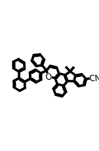 CC1(C)c2cc(C#N)ccc2-c2c1c1c(c3ccccc23)OC(c2ccccc2)(c2ccc(C3=C(c4ccccc4)C=CCC3)cc2)C=C1